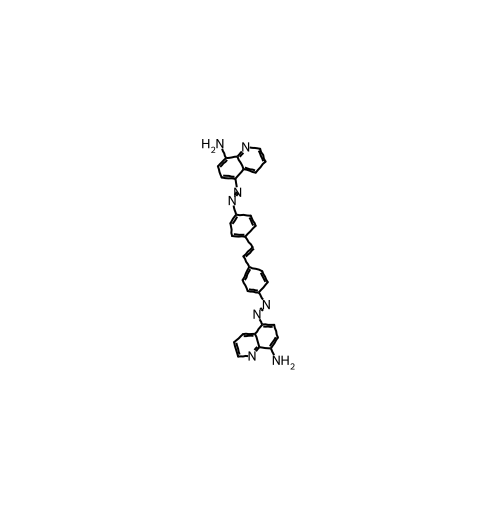 Nc1ccc(N=Nc2ccc(C=Cc3ccc(N=Nc4ccc(N)c5ncccc45)cc3)cc2)c2cccnc12